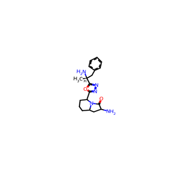 C[C@@](N)(Cc1ccccc1)c1nnc(C2CCCC3CC(N)C(=O)N32)o1